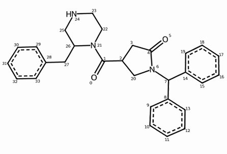 O=C(C1CC(=O)N(C(c2ccccc2)c2ccccc2)C1)N1CCNCC1Cc1ccccc1